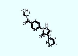 CCOC(=O)c1ccc(-n2[nH]cc(-n3ccnn3)c2=O)nc1